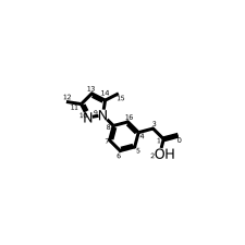 C=C(O)Cc1cccc(-n2nc(C)cc2C)c1